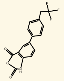 O=c1[nH]c2ccc(-c3ccc(CC(F)(F)F)cc3)cc2c(=O)o1